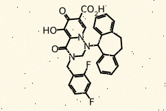 O=C(O)c1cn2c(c(O)c1=O)C(=O)N(Cc1ccc(F)cc1F)CN2C1c2ccccc2CCc2ccccc21